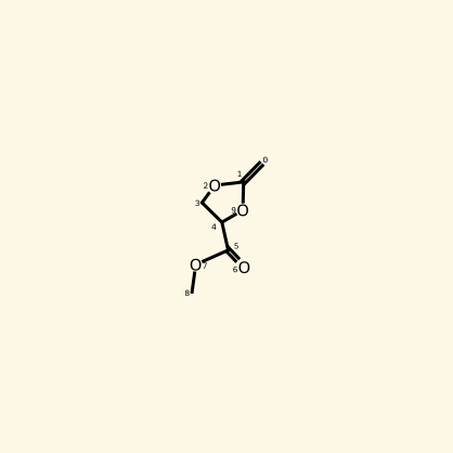 C=C1OCC(C(=O)OC)O1